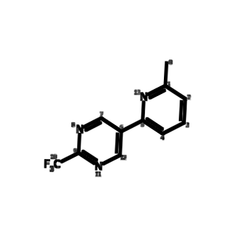 Cc1cccc(-c2cnc(C(F)(F)F)nc2)n1